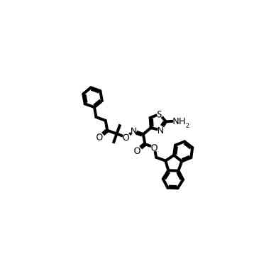 CC(C)(O/N=C(\C(=O)OCC1c2ccccc2-c2ccccc21)c1csc(N)n1)C(=O)CCc1ccccc1